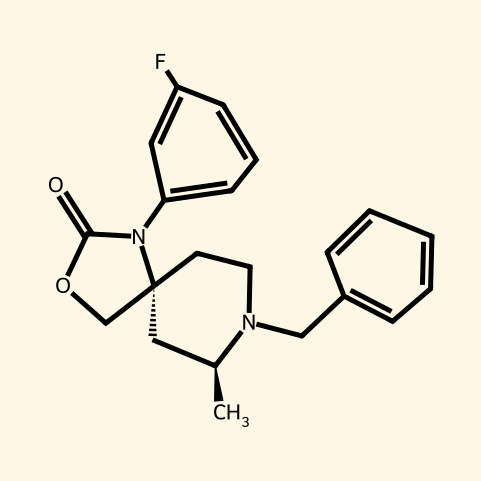 C[C@H]1C[C@]2(CCN1Cc1ccccc1)COC(=O)N2c1cccc(F)c1